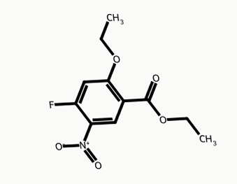 CCOC(=O)c1cc([N+](=O)[O-])c(F)cc1OCC